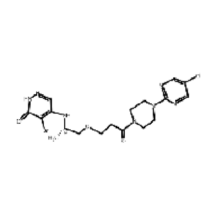 C[C@@H](COCCC(=O)N1CCN(c2ncc(Cl)cn2)CC1)Nc1cn[nH]c(=O)c1Br